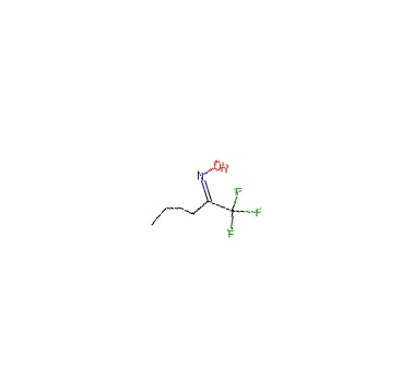 CCCC(=NO)C(F)(F)F